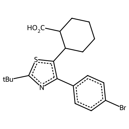 CC(C)(C)c1nc(-c2ccc(Br)cc2)c(C2CCCCC2C(=O)O)s1